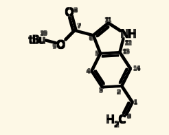 C=Cc1ccc2c(C(=O)OC(C)(C)C)c[nH]c2c1